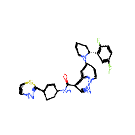 O=C(NC1CCC(c2nccs2)CC1)c1cnn2ccc(N3CCC[C@@H]3c3cc(F)ccc3F)cc12